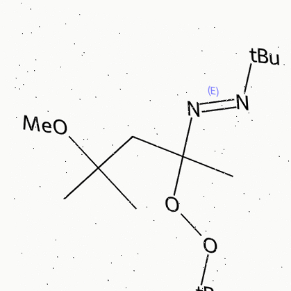 COC(C)(C)CC(C)(/N=N/C(C)(C)C)OOC(C)(C)C